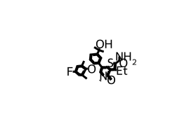 CCc1c(C(N)=O)sc2c(-c3cc(C(C)(C)O)ccc3Oc3c(C)cc(F)cc3C)cn(C)c(=O)c12